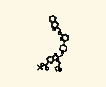 CC(C)(C)OC(=O)c1ccc2nc(CN3CCC(c4cccc(OCc5cc6ccccc6cn5)n4)CC3)n(C[C@@H]3CCO3)c2c1